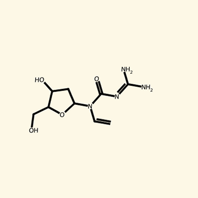 C=CN(C(=O)N=C(N)N)C1CC(O)C(CO)O1